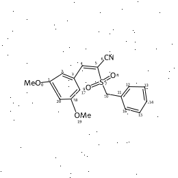 COc1cc(/C=C(/C#N)S(=O)(=O)Cc2ccccc2)cc(OC)c1